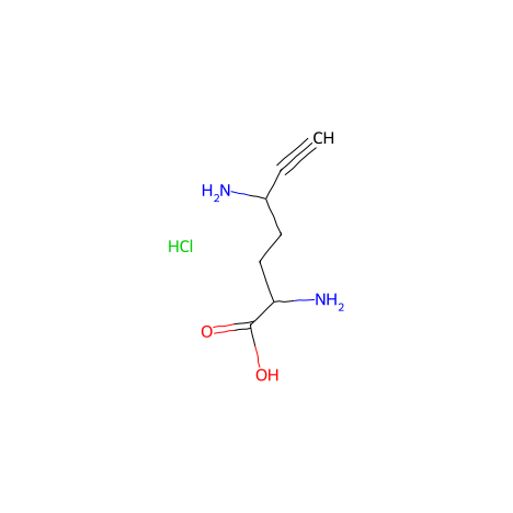 C#CC(N)CCC(N)C(=O)O.Cl